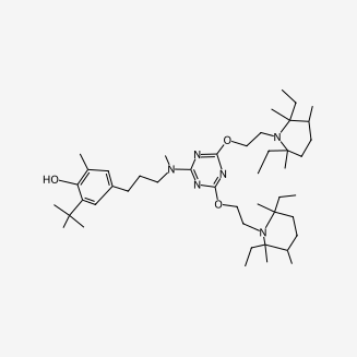 CCC1(C)CCC(C)C(C)(CC)N1CCOc1nc(OCCN2C(C)(CC)CCC(C)C2(C)CC)nc(N(C)CCCc2cc(C)c(O)c(C(C)(C)C)c2)n1